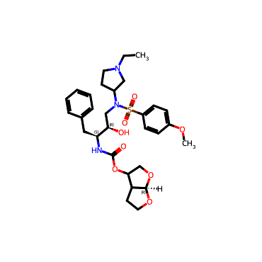 CCN1CCC(N(C[C@@H](O)[C@H](Cc2ccccc2)NC(=O)OC2CO[C@H]3OCCC23)S(=O)(=O)c2ccc(OC)cc2)C1